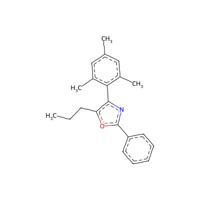 CCCc1oc(-c2ccccc2)nc1-c1c(C)cc(C)cc1C